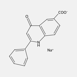 O=C([O-])c1ccc2[nH]c(-c3ccccc3)cc(=O)c2c1.[Na+]